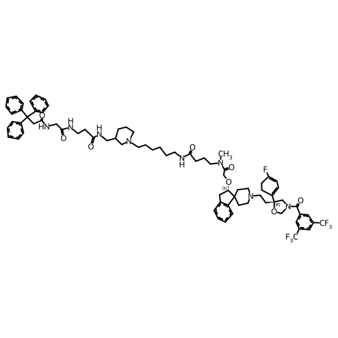 CN(CCCC(=O)NCCCCCCN1CCCC(CNC(=O)CCNC(=O)CNC(=O)CC(c2ccccc2)(c2ccccc2)c2ccccc2)C1)C(=O)CO[C@H]1Cc2ccccc2C12CCN(CC[C@@]1(C3=CC=C(F)CC3)CN(C(=O)c3cc(C(F)(F)F)cc(C(F)(F)F)c3)CO1)CC2